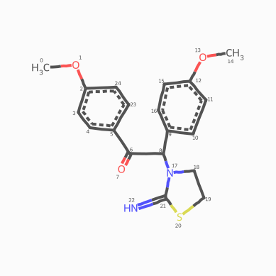 COc1ccc(C(=O)C(c2ccc(OC)cc2)N2CCSC2=N)cc1